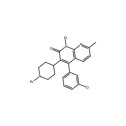 CCn1c(=O)c(C2CCN(C(C)=O)CC2)c(-c2cccc(Cl)c2)c2ccc(C)nc21